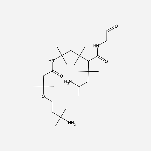 CC(N)CC(C)(C)C(C(=O)NCC=O)C(C)(C)CC(C)(C)NC(=O)CC(C)(C)OCCC(C)(C)N